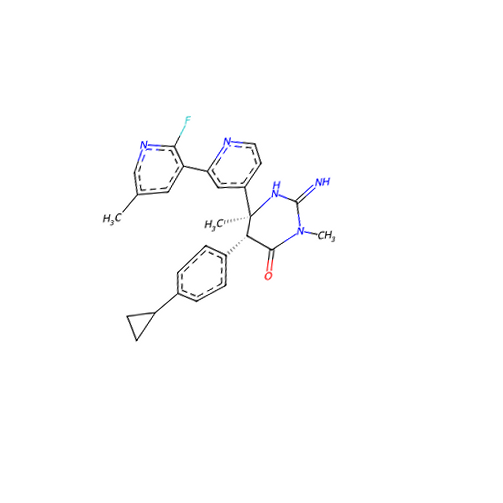 Cc1cnc(F)c(-c2cc([C@@]3(C)NC(=N)N(C)C(=O)[C@@H]3c3ccc(C4CC4)cc3)ccn2)c1